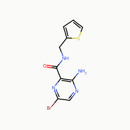 Nc1ncc(Br)nc1C(=O)NCc1cccs1